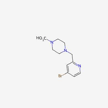 O=C(O)N1CCN(Cc2cc(Br)ccn2)CC1